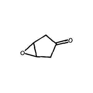 O=C1CC2OC2C1